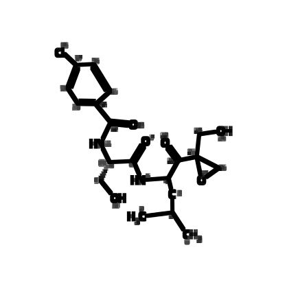 CC(C)CC(NC(=O)[C@H](CO)NC(=O)c1ccc(Cl)cc1)C(=O)C1(CO)CO1